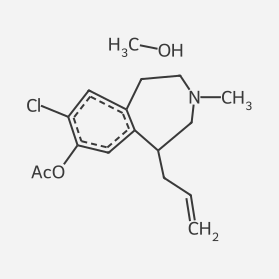 C=CCC1CN(C)CCc2cc(Cl)c(OC(C)=O)cc21.CO